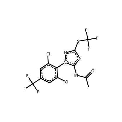 CC(=O)Nc1nc(SC(F)(F)F)nn1-c1c(Cl)cc(C(F)(F)F)cc1Cl